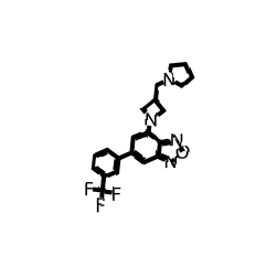 FC(F)(F)c1cccc(-c2cc(N3CC(CN4CCCC4)C3)c3nonc3c2)c1